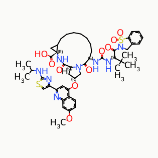 COc1ccc2c(O[C@@H]3C[C@H]4C(=O)N[C@]5(C(=O)O)CC5CCCCCCC[C@H](NC(=O)N[C@H](C(=O)N5Cc6ccccc6S5(=O)=O)C(C)(C)C)C(=O)N4C3)cc(-c3csc(NC(C)C)n3)nc2c1